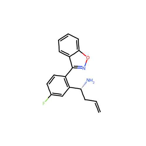 C=CC[C@@H](N)c1cc(F)ccc1-c1noc2ccccc12